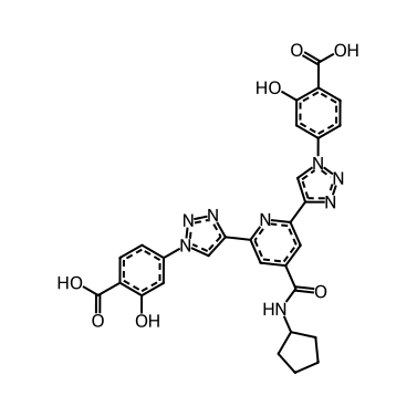 O=C(NC1CCCC1)c1cc(-c2cn(-c3ccc(C(=O)O)c(O)c3)nn2)nc(-c2cn(-c3ccc(C(=O)O)c(O)c3)nn2)c1